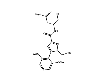 CCC(C)Cn1nc(C(=O)N[C@H](CC(=O)NC)CC(C)C)cc1-c1c(OC)cccc1OC